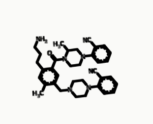 Cc1cc(CCCN)c(C(=O)N2CCN(c3ccccc3C#N)CC2C)cc1CN1CCN(c2ccccc2C#N)CC1